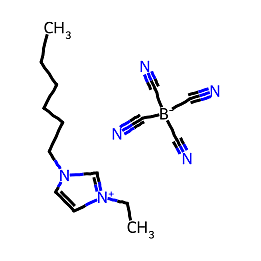 CCCCCCn1cc[n+](CC)c1.N#C[B-](C#N)(C#N)C#N